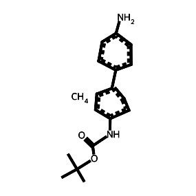 C.CC(C)(C)OC(=O)Nc1ccc(-c2ccc(N)cc2)cc1